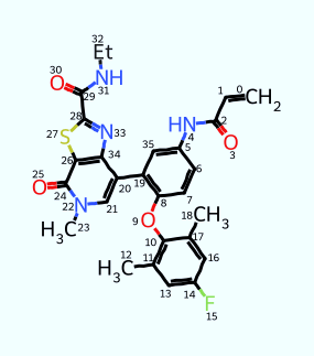 C=CC(=O)Nc1ccc(Oc2c(C)cc(F)cc2C)c(-c2cn(C)c(=O)c3sc(C(=O)NCC)nc23)c1